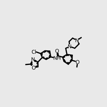 COc1ccc(C(=O)Nc2ccc(Cl)c(-c3coc(C)n3)c2)c(CN2CCN(C)CC2)c1